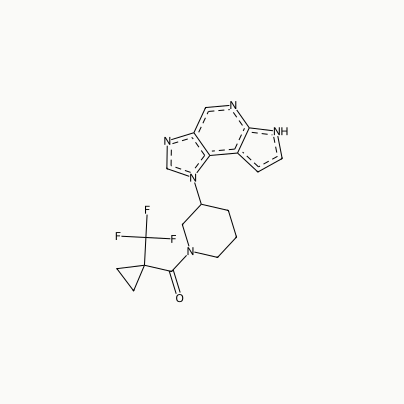 O=C(N1CCCC(n2cnc3cnc4[nH]ccc4c32)C1)C1(C(F)(F)F)CC1